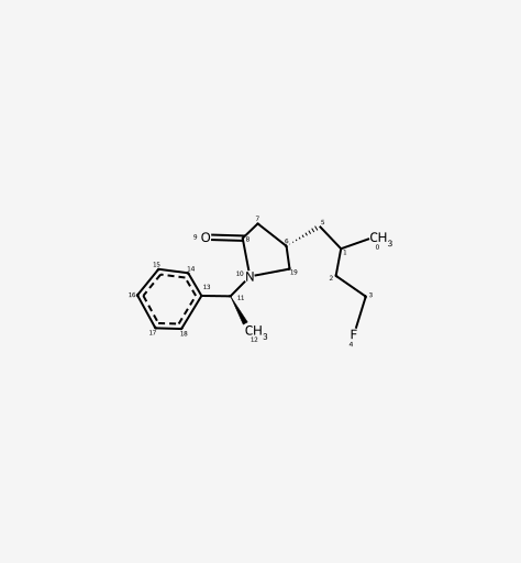 CC(CCF)C[C@H]1CC(=O)N([C@@H](C)c2ccccc2)C1